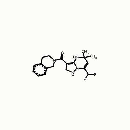 CC1(C)C=C(C(F)F)N2NCC(C(=O)N3CCc4ccccc4C3)=C2N1